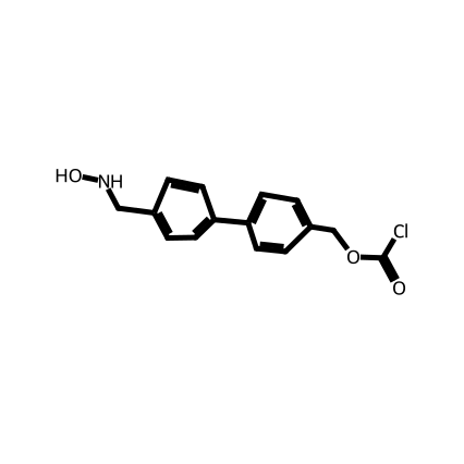 O=C(Cl)OCc1ccc(-c2ccc(CNO)cc2)cc1